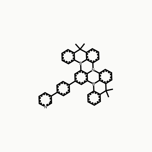 CC1(C)c2ccccc2B2c3cc(-c4ccc(-c5cccnc5)cc4)cc4c3N(c3cccc1c32)c1cccc2c1B4c1ccccc1C2(C)C